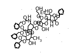 CCC1OC(OC2C(OOCCO)OC(OC3C(O)C(NC(=O)OCc4ccccc4)CC(NC(=O)OCc4ccccc4)C3OC3OC4COC(c5ccccc5)OC4C(O)C3C)C2O)C(NC(=O)OCc2ccccc2)C(O)C1O